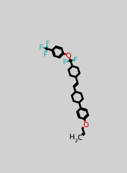 C=CCOc1ccc(C2CCC(/C=C/C3CCC(C(F)(F)Oc4ccc(C(F)(F)F)cc4)CC3)CC2)cc1